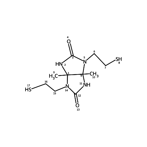 CC12NC(=O)N(CCS)C1(C)NC(=O)N2CCS